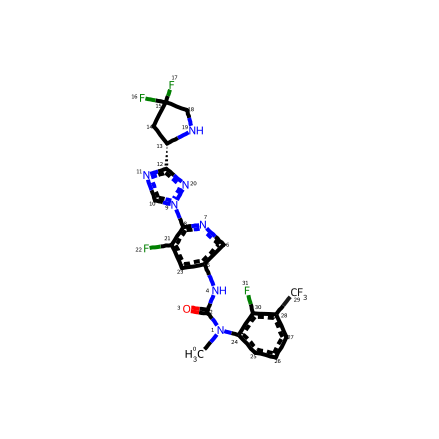 CN(C(=O)Nc1cnc(-n2cnc([C@@H]3CC(F)(F)CN3)n2)c(F)c1)c1cccc(C(F)(F)F)c1F